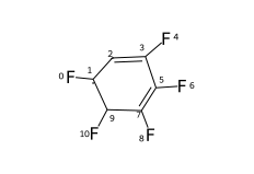 F[C]1C=C(F)C(F)=C(F)C1F